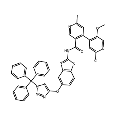 COc1cnc(Cl)cc1-c1cc(C)ncc1C(=O)Nc1nc2cc(Oc3nnn(C(c4ccccc4)(c4ccccc4)c4ccccc4)n3)ccc2s1